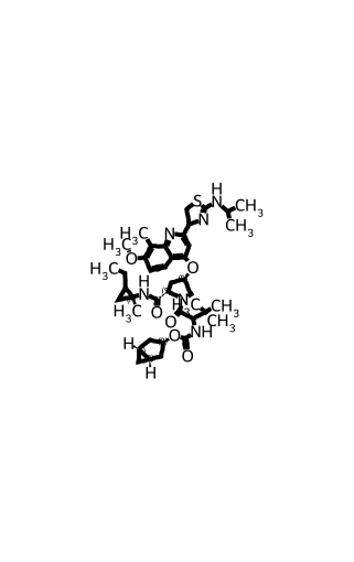 CCC1C[C@@]1(C)NC(=O)[C@@H]1C[C@@H](Oc2cc(C3CSC(NC(C)C)=N3)nc3c(C)c(OC)ccc23)CN1C(=O)C(NC(=O)O[C@@H]1C[C@@H]2C[C@@H]2C1)C(C)(C)C